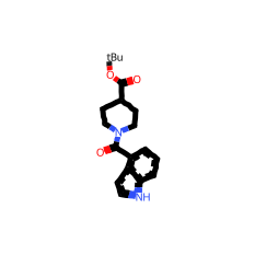 CC(C)(C)OC(=O)C1CCN(C(=O)c2cccc3[nH]ccc23)CC1